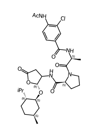 CC(=O)Nc1ccc(C(=O)N[C@@H](C)C(=O)N2CCC[C@H]2C(=O)NC2CC(=O)O[C@H]2O[C@H]2C[C@@H](C)CC[C@@H]2C(C)C)cc1Cl